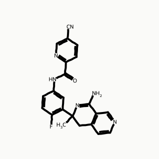 CC1(c2cc(NC(=O)c3ccc(C#N)cn3)ccc2F)Cc2ccncc2C(N)=N1